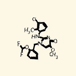 COc1cn(Cc2ccccc2OC(F)F)c(Nc2cccc(Cl)c2C)nc1=O